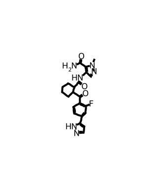 Cn1ncc(NC(=O)C2CCCCC2C(=O)c2ccc(-c3ccn[nH]3)cc2F)c1C(N)=O